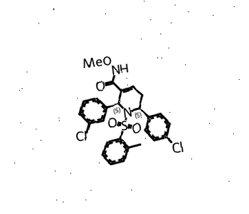 CONC(=O)C1=CC[C@@H](c2ccc(Cl)cc2)N(S(=O)(=O)c2ccccc2C)[C@H]1c1cccc(Cl)c1